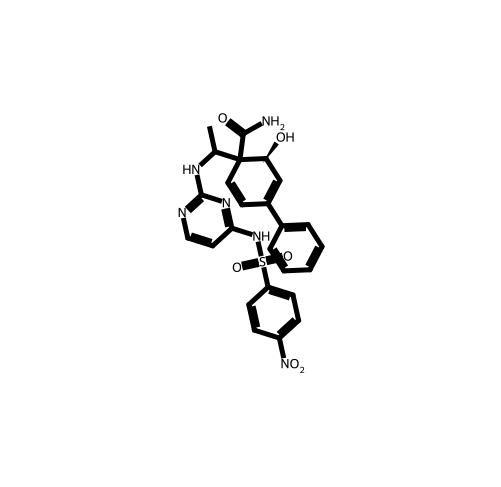 CC(Nc1nccc(NS(=O)(=O)c2ccc([N+](=O)[O-])cc2)n1)C1(C(N)=O)C=CC(c2ccccc2)=C[C@@H]1O